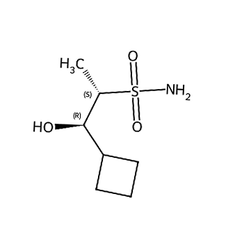 C[C@@H]([C@H](O)C1CCC1)S(N)(=O)=O